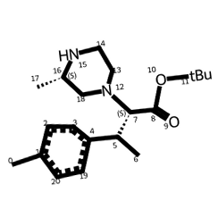 Cc1ccc(C(C)[C@@H](C(=O)OC(C)(C)C)N2CCN[C@@H](C)C2)cc1